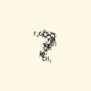 Cc1cc(N2C[C@H]3[C@H](Nc4nc5n(n4)CCCC5c4ccc(C(F)(F)F)cc4)C4CC43C2)sn1